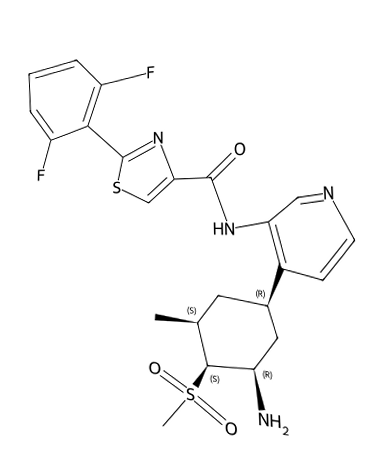 C[C@H]1C[C@@H](c2ccncc2NC(=O)c2csc(-c3c(F)cccc3F)n2)C[C@@H](N)[C@H]1S(C)(=O)=O